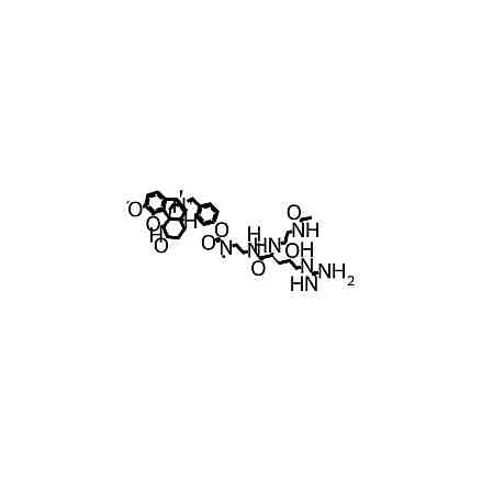 COc1ccc2c3c1O[C@H]1C(=O)CC[C@H]4C(C2)[N@@+](C)(Cc2ccc(OC(=O)N(C)CCNC(=O)[C@H](CCCNC(=N)N)NC(=O)CNC(C)=O)cc2)CC[C@]314